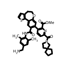 COC(=O)c1nc(C(=O)N2CCC3(CCCC3)C2)ccc1-c1cc2c(cc1C(=O)Nc1c(C)cc(CN)cc1C)-c1sccc1CCO2